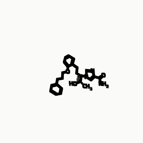 C[C@H](O)[C@@H](CCc1ccccc1OCCCc1ccccc1)n1cnc(C(N)=O)c1